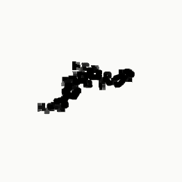 Cc1ncc(NC(=O)CN2CCc3nccnc3C2)cc1NC(=O)c1nnc2cc(-c3cnn(C)c3)ccn12